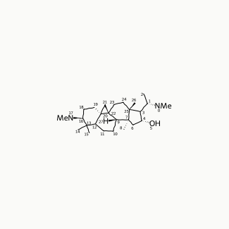 CN[C@@H](C)C1[C@H](O)C[C@@]2(C)[C@@H]3CCC4C(C)(C)[C@@H](NC)CC[C@@]45C[C@@]35CC[C@]12C